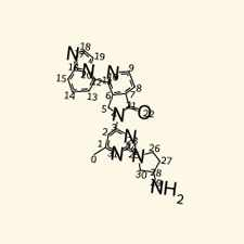 Cc1cc(N2Cc3c(ccnc3-c3cccc4nccn34)C2=O)nc(N2CCC(N)C2)n1